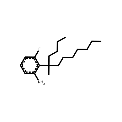 CCCCCCCC(C)(CCCC)c1c(N)cccc1F